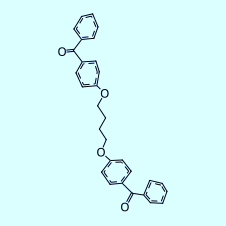 O=C(c1ccccc1)c1ccc(OCCCCOc2ccc(C(=O)c3ccccc3)cc2)cc1